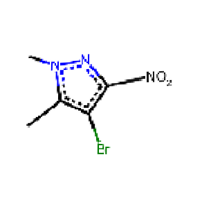 Cc1c(Br)c([N+](=O)[O-])nn1C